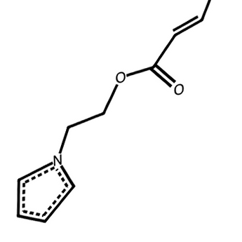 C/C=C/C(=O)OCCn1cccc1